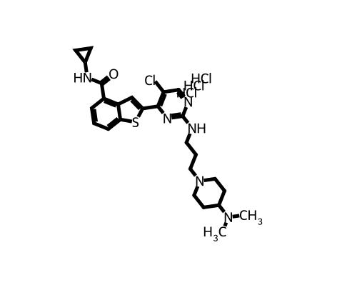 CN(C)C1CCN(CCCNc2ncc(Cl)c(-c3cc4c(C(=O)NC5CC5)cccc4s3)n2)CC1.Cl.Cl.Cl